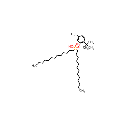 CCCCCCCCCCCCCP(O)(O)(CCCCCCCCCCCCC)Oc1cc(C)ccc1C(C)(C)C